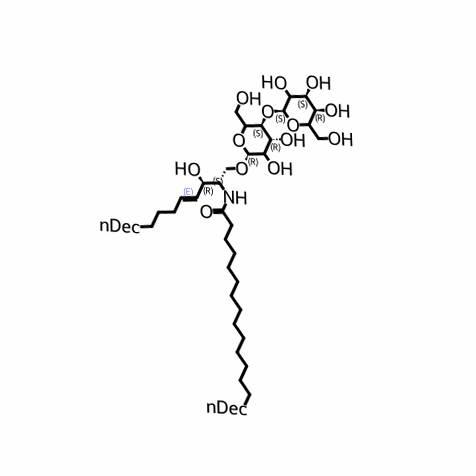 CCCCCCCCCCCCC/C=C/[C@@H](O)[C@H](CO[C@@H]1OC(CO)[C@@H](O[C@@H]2OC(CO)[C@H](O)[C@H](O)C2O)[C@H](O)C1O)NC(=O)CCCCCCCCCCCCCCCCCCCCCCC